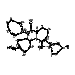 CNc1ncc(C2c3[nH]c4ccc(Br)cc4c3CCN2C(=O)Oc2ncccn2)cn1